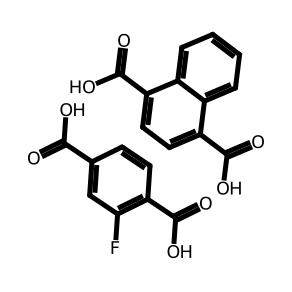 O=C(O)c1ccc(C(=O)O)c(F)c1.O=C(O)c1ccc(C(=O)O)c2ccccc12